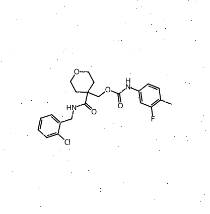 Cc1ccc(NC(=O)OCC2(C(=O)NCc3ccccc3Cl)CCOCC2)cc1F